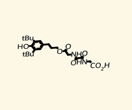 CC(C)(C)c1cc(CCCOC(=O)CNC(=O)C(=O)NCC(=O)O)cc(C(C)(C)C)c1O